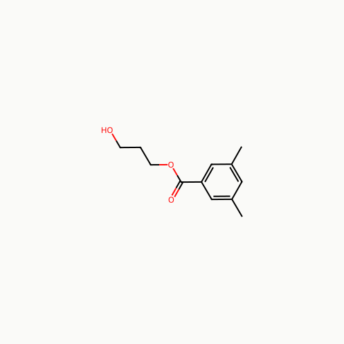 Cc1cc(C)cc(C(=O)OCCCO)c1